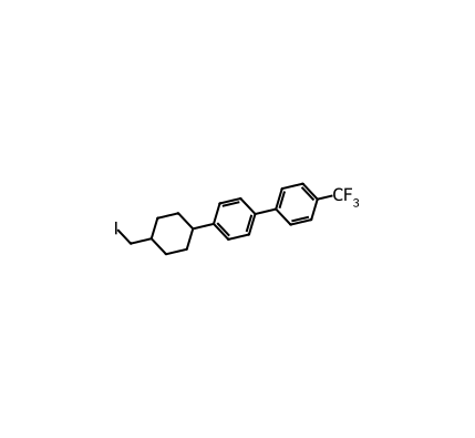 FC(F)(F)c1ccc(-c2ccc(C3CCC(CI)CC3)cc2)cc1